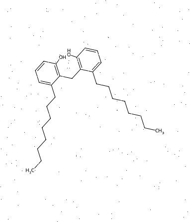 CCCCCCCCc1cccc(O)c1Cc1c(O)cccc1CCCCCCCC